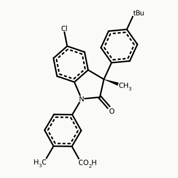 Cc1ccc(N2C(=O)[C@@](C)(c3ccc(C(C)(C)C)cc3)c3cc(Cl)ccc32)cc1C(=O)O